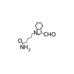 NC(=O)CCCCn1cc(C=O)c2ccccc21